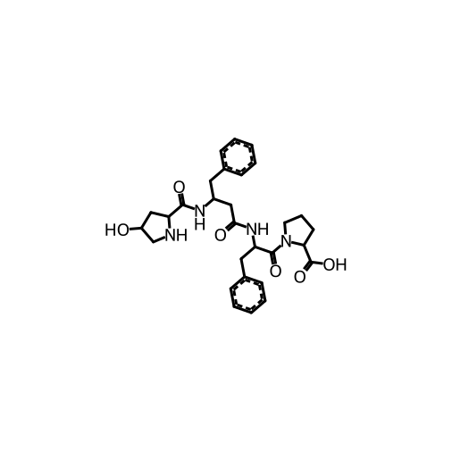 O=C(CC(Cc1ccccc1)NC(=O)C1CC(O)CN1)NC(Cc1ccccc1)C(=O)N1CCCC1C(=O)O